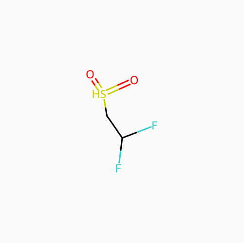 O=[SH](=O)CC(F)F